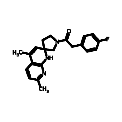 CC1=CC2(CCN(C(=O)Cc3ccc(F)cc3)C2)Nc2nc(C)ccc21